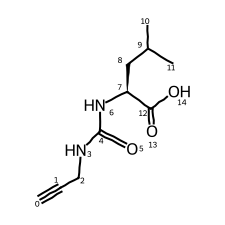 C#CCNC(=O)N[C@@H](CC(C)C)C(=O)O